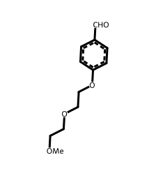 COCCOCCOc1ccc(C=O)cc1